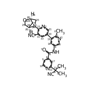 Cc1ncc(NC(=O)c2ccnc(C(C)(C)C#N)c2)cc1-c1cnc(N2C[C@H]3C[C@@H]2CO3)c(C#N)c1